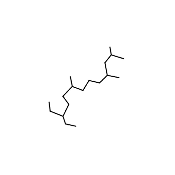 CCC(CC)CCC(C)CCCC(C)CC(C)C